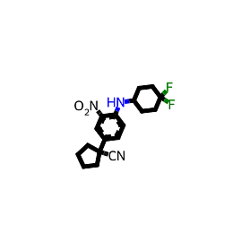 N#CC1(c2ccc(NC3CCC(F)(F)CC3)c([N+](=O)[O-])c2)CCCC1